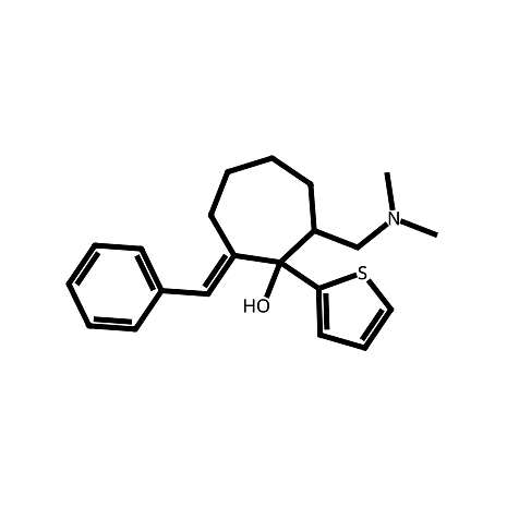 CN(C)CC1CCCCC(=Cc2ccccc2)C1(O)c1cccs1